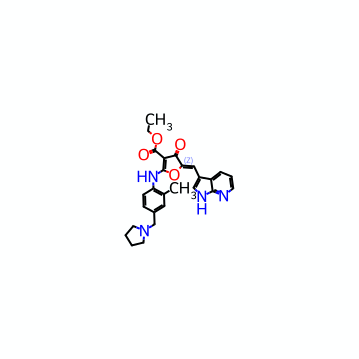 CCOC(=O)C1=C(Nc2ccc(CN3CCCC3)cc2C)O/C(=C\c2c[nH]c3ncccc23)C1=O